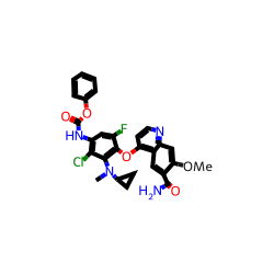 COc1cc2nccc(Oc3c(F)cc(NC(=O)Oc4ccccc4)c(Cl)c3N(C)C3CC3)c2cc1C(N)=O